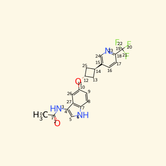 CC(=O)Nc1c[nH]c2ccc(O[C@H]3C[C@H](c4ccc(C(F)(F)F)nc4)C3)cc12